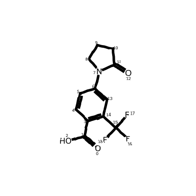 O=C(O)c1ccc(N2CCCC2=O)cc1C(F)(F)F